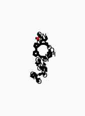 CCn1c(-c2cccnc2[C@H](C)OC)c2c3cc(ccc31)-c1cccc(c1)CC(NC(=O)C(C(C)C)N1CC[C@@]3(CCN(C(=O)C#C[C@@H]4COCCN4C4COC4)C3)C1=O)C(=O)N1CCC[C@H](N1)C(=O)OCC(C)(C)C2